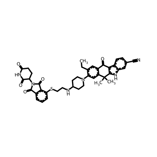 CCc1cc2c(cc1N1CCC(NCCSc3cccc4c3C(=O)N(C3CCC(=O)NC3=O)C4=O)CC1)C(C)(C)c1[nH]c3cc(C#N)ccc3c1C2=O